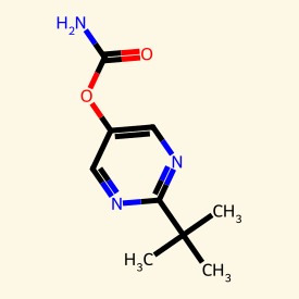 CC(C)(C)c1ncc(OC(N)=O)cn1